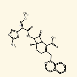 CO/N=C(\C(=O)NC1C(=O)N2C(C(=O)O)=C(Cc3nccc4ccccc34)CS[C@H]12)c1cc(N)on1